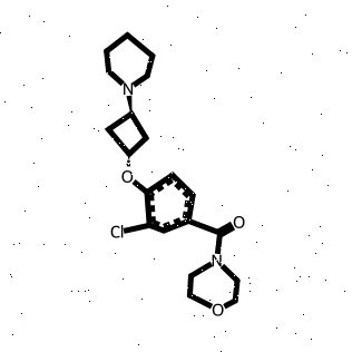 O=C(c1ccc(O[C@H]2C[C@H](N3CCCCC3)C2)c(Cl)c1)N1CCOCC1